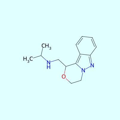 CC(C)NCC1OCCn2nc3ccccc3c21